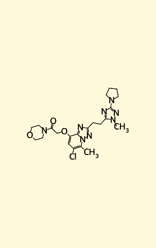 Cc1c(Cl)cc(OCC(=O)N2CCOCC2)c2nc(CCc3nc(N4CCCC4)nn3C)nn12